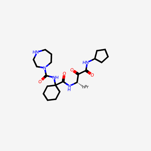 CCC[C@H](NC(=O)C1(NC(=O)N2CCCNCC2)CCCCC1)C(=O)C(=O)NC1CCCC1